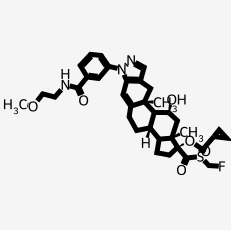 COCCNC(=O)c1cccc(-n2ncc3c2C=C2CC[C@@H]4C([C@@H](O)C[C@@]5(C)C4CC[C@]5(OC(=O)C4CC4)C(=O)SCF)[C@@]2(C)C3)c1